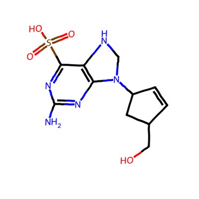 Nc1nc2c(c(S(=O)(=O)O)n1)NCN2C1C=CC(CO)C1